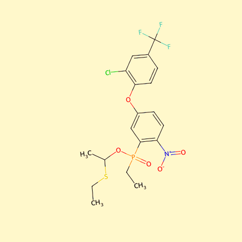 CCSC(C)OP(=O)(CC)c1cc(Oc2ccc(C(F)(F)F)cc2Cl)ccc1[N+](=O)[O-]